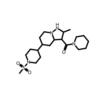 CC1NN2CCC(C3CCN(S(C)(=O)=O)CC3)CC2C1C(=O)N1CCCCC1